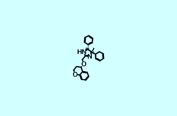 C[C@@]1(C2C=CC=CC2)N=C(COC2CCOc3ccccc32)N[C@@H]1c1ccccc1